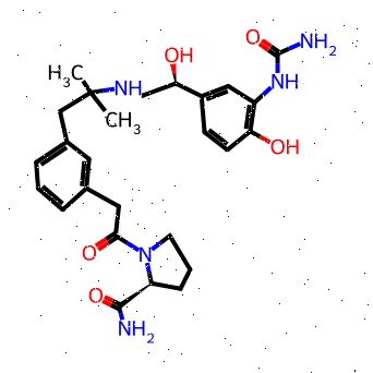 CC(C)(Cc1cccc(CC(=O)N2CCC[C@H]2C(N)=O)c1)NC[C@@H](O)c1ccc(O)c(NC(N)=O)c1